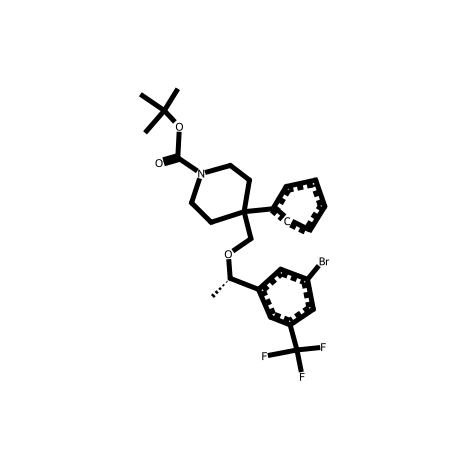 C[C@H](OCC1(c2ccccc2)CCN(C(=O)OC(C)(C)C)CC1)c1cc(Br)cc(C(F)(F)F)c1